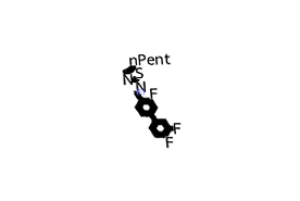 CCCCCc1cnc(/N=C/c2ccc(-c3ccc(F)c(F)c3)cc2F)s1